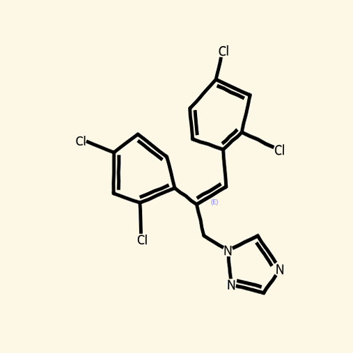 Clc1ccc(/C=C(/Cn2cncn2)c2ccc(Cl)cc2Cl)c(Cl)c1